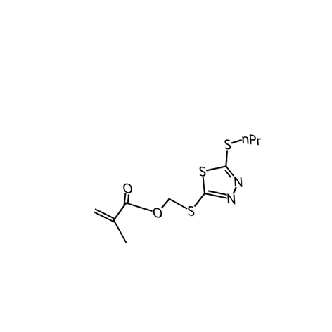 C=C(C)C(=O)OCSc1nnc(SCCC)s1